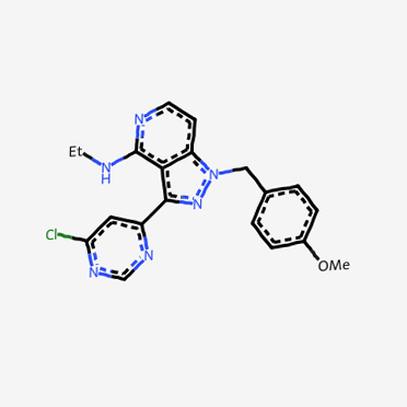 CCNc1nccc2c1c(-c1cc(Cl)ncn1)nn2Cc1ccc(OC)cc1